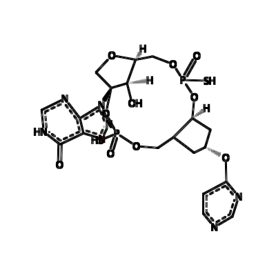 O=c1[nH]cnc2c1nnn2[C@]12CO[C@@H](COP(=O)(S)O[C@H]3C[C@H](Oc4ccncn4)CC3COP(=O)(S)O1)[C@H]2O